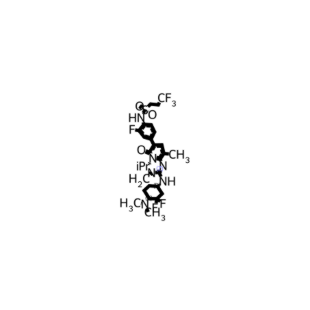 C=N/C(=N\c1c(C)cc(-c2ccc(NS(=O)(=O)CCC(F)(F)F)c(F)c2)c(=O)n1C(C)C)N[C@@H]1CC[C@@H](N(C)C)C(F)(F)C1